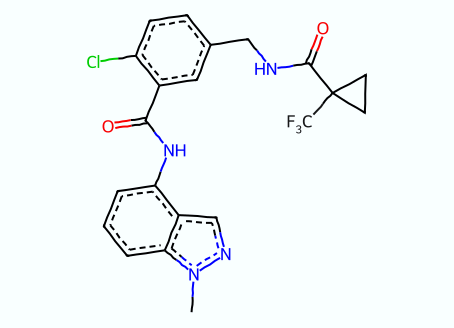 Cn1ncc2c(NC(=O)c3cc(CNC(=O)C4(C(F)(F)F)CC4)ccc3Cl)cccc21